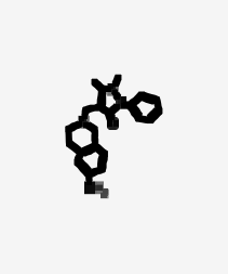 Cc1c(CN2CCc3cc(N)ccc3C2)c(=O)n(-c2ccccc2)n1C